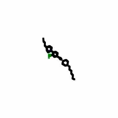 CCCCCCC[C@H]1CC[C@H](C#Cc2ccc(-c3ccc(CCCC)cc3)c(F)c2)CC1